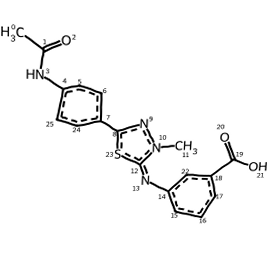 CC(=O)Nc1ccc(-c2nn(C)/c(=N\c3cccc(C(=O)O)c3)s2)cc1